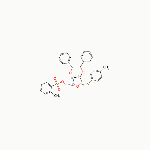 Cc1ccc(S[C@@H]2O[C@H](COS(=O)(=O)c3ccccc3C)[C@H](OCc3ccccc3)[C@H]2OCc2ccccc2)cc1